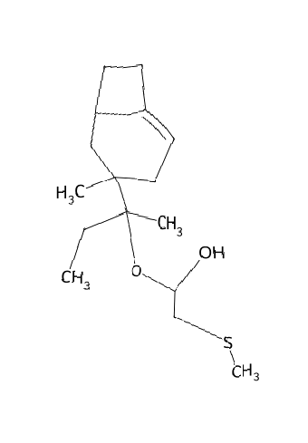 CCC(C)(OC(O)CSC)C1(C)CC=C2CCC2C1